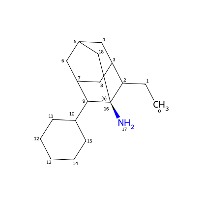 CCC1C2CC3CC(C2)C(C2CCCCC2)[C@]1(N)C3